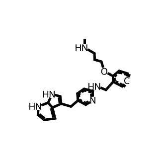 CNCCCOc1ccccc1CNc1ccc(CC2=CNC3NC=CC=C23)cn1